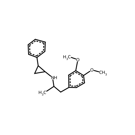 COc1ccc(CC(C)NC2CC2c2ccccc2)cc1OC